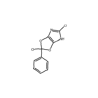 Clc1nc2c([nH]1)OC(Cl)(c1ccccc1)O2